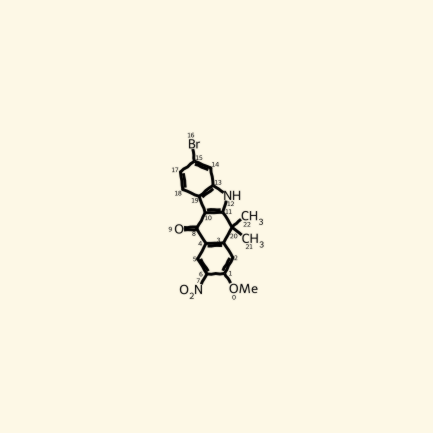 COc1cc2c(cc1[N+](=O)[O-])C(=O)c1c([nH]c3cc(Br)ccc13)C2(C)C